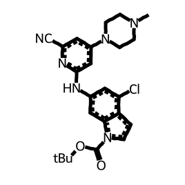 CN1CCN(c2cc(C#N)nc(Nc3cc(Cl)c4ccn(C(=O)OC(C)(C)C)c4c3)c2)CC1